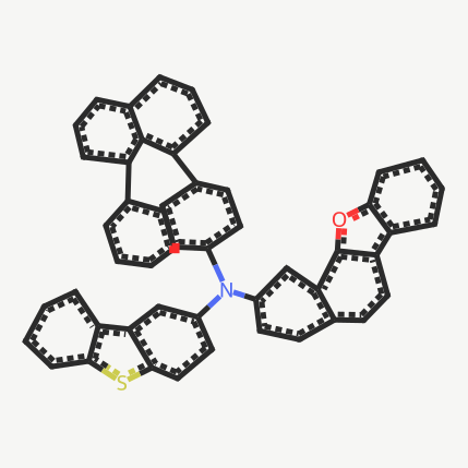 c1ccc(-c2cccc3cccc(-c4ccc(N(c5ccc6sc7ccccc7c6c5)c5ccc6ccc7c8ccccc8oc7c6c5)cc4)c23)cc1